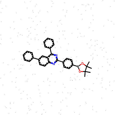 CC1(C)OB(c2ccc(-c3nc(-c4ccccc4)c4cc(-c5ccccc5)ccc4n3)cc2)OC1(C)C